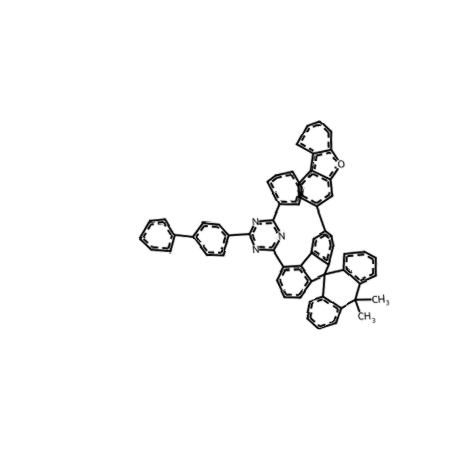 CC1(C)c2ccccc2C2(c3ccc(-c4ccc5c(c4)oc4ccccc45)cc3-c3c(-c4nc(-c5ccccc5)nc(-c5ccc(-c6ccccc6)cc5)n4)cccc32)c2ccccc21